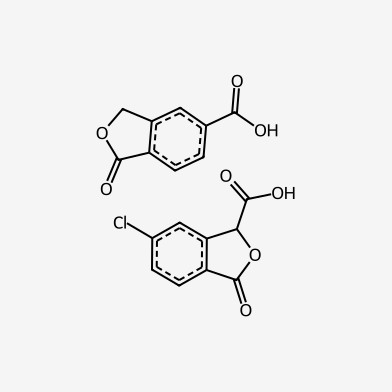 O=C(O)c1ccc2c(c1)COC2=O.O=C1OC(C(=O)O)c2cc(Cl)ccc21